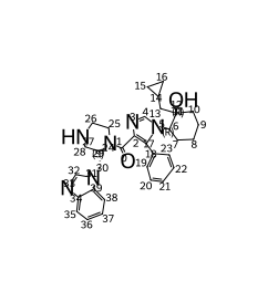 O=C(c1ncn([C@@H]2CCCC[C@@]2(O)CC2CC2)c1-c1ccccc1)N1CCNC[C@H]1Cn1cnc2ccccc21